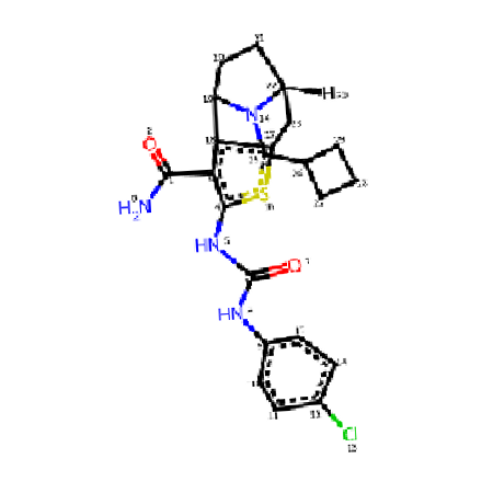 NC(=O)c1c(NC(=O)Nc2ccc(Cl)cc2)sc2c1C1CC[C@H](C2)N1CC1CCC1